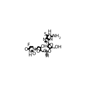 Nc1nc2c(ncn2[C@H]2CC(O[PH](=O)OC[C@H]3O[C@@H](n4cc(F)c(=O)[nH]c4=O)CC3O)[C@@H](CO)O2)c(=S)[nH]1